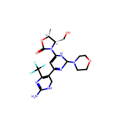 C[C@H]1OC(=O)N(C2=CC(C3=C(C(F)(F)F)N=C(N)NC3)=NC(N3CCOCC3)N2)[C@H]1CO